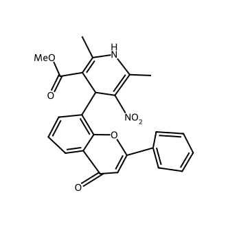 COC(=O)C1=C(C)NC(C)=C([N+](=O)[O-])C1c1cccc2c(=O)cc(-c3ccccc3)oc12